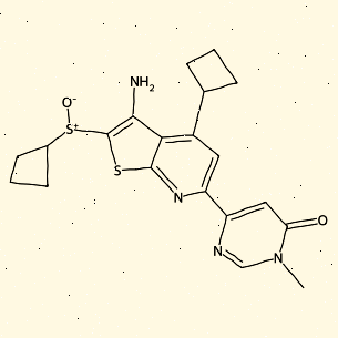 Cn1cnc(-c2cc(C3CCC3)c3c(N)c([S+]([O-])C4CCC4)sc3n2)cc1=O